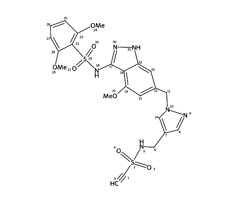 C#CS(=O)(=O)NCc1cnn(Cc2cc(OC)c3c(NS(=O)(=O)c4c(OC)cccc4OC)n[nH]c3c2)c1